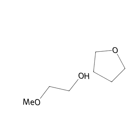 C1CCOC1.COCCO